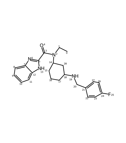 CCN(C(=O)c1nc2ccccc2[nH]1)C1CCCC(NCc2ccc(F)cc2)C1